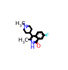 Cc1[nH]c(=O)c2cc(F)ccc2c1C1CCN(C)CC1